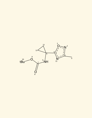 Cc1noc(C2(NC(=O)OC(C)(C)C)CC2)n1